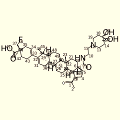 C=C(C)[C@@H]1CC[C@]2(C(=O)NCCN3CCS(O)(O)CC3)CC[C@]3(C)[C@H](CC[C@@H]4[C@@]5(C)CC=C(C6=CC[C@@](CF)(C(=O)O)CC6)C(C)(C)[C@@H]5CC[C@]43C)[C@@H]12